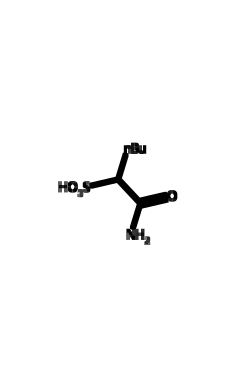 CCCCC(C(N)=O)S(=O)(=O)O